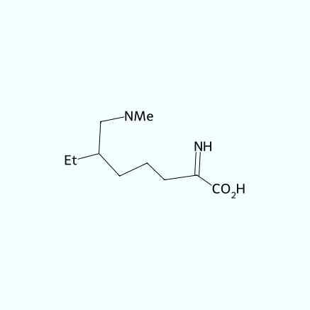 CCC(CCCC(=N)C(=O)O)CNC